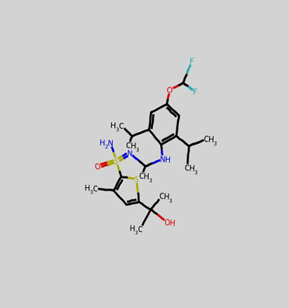 Cc1cc(C(C)(C)O)sc1S(N)(=O)=NC(C)Nc1c(C(C)C)cc(OC(F)F)cc1C(C)C